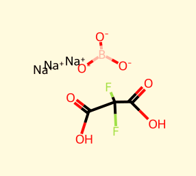 O=C(O)C(F)(F)C(=O)O.[Na+].[Na+].[Na+].[O-]B([O-])[O-]